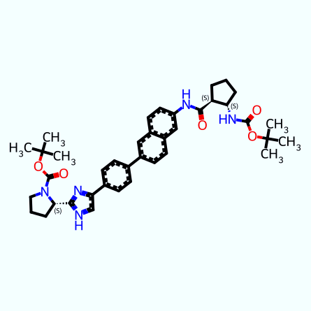 CC(C)(C)OC(=O)N[C@H]1CCC[C@@H]1C(=O)Nc1ccc2cc(-c3ccc(-c4c[nH]c([C@@H]5CCCN5C(=O)OC(C)(C)C)n4)cc3)ccc2c1